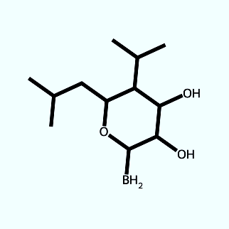 BC1OC(CC(C)C)C(C(C)C)C(O)C1O